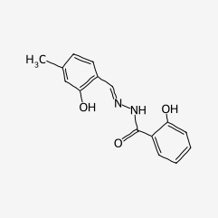 Cc1ccc(/C=N/NC(=O)c2ccccc2O)c(O)c1